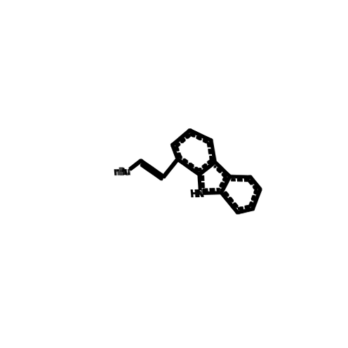 CCCC/C=C/c1cccc2c1[nH]c1ccccc12